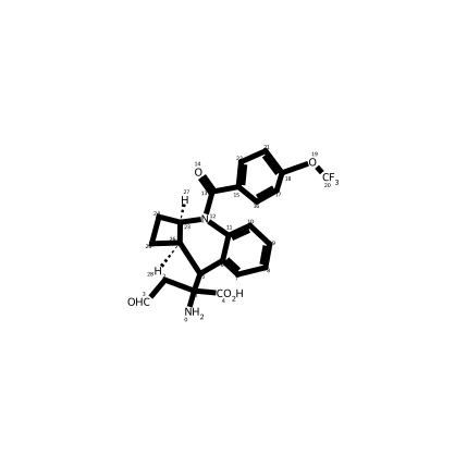 NC(CC=O)(C(=O)O)C1c2ccccc2N(C(=O)c2ccc(OC(F)(F)F)cc2)[C@@H]2CC[C@H]12